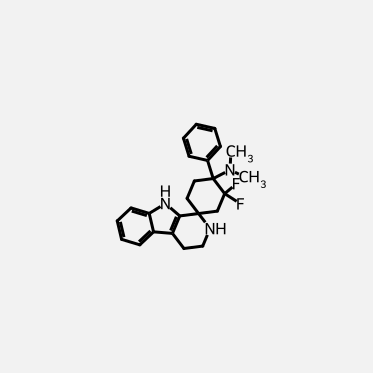 CN(C)C1(c2ccccc2)CCC2(CC1(F)F)NCCc1c2[nH]c2ccccc12